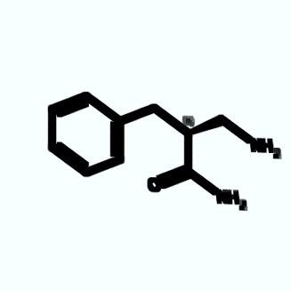 NC[C@H](Cc1ccccc1)C(N)=O